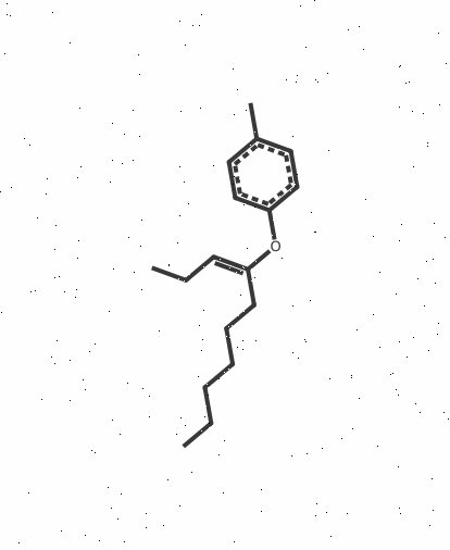 CCC=C(CCCCCC)Oc1ccc(C)cc1